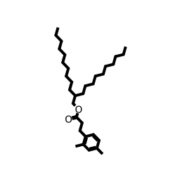 CCCCCCCCCCC(CCCCCCCCCC)COC(=O)CCc1ccc(C)cc1C